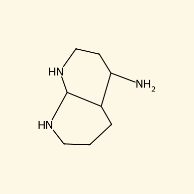 NC1CCNC2NCCCC12